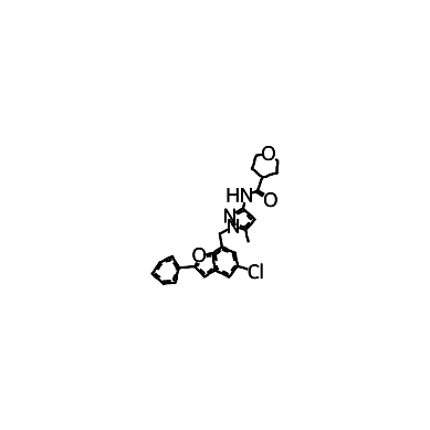 Cc1cc(NC(=O)C2CCOCC2)nn1Cc1cc(Cl)cc2cc(-c3ccccc3)oc12